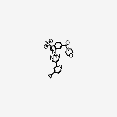 CS(=O)(=O)c1cn(-c2ncc(-c3cc(C4CC4)ccn3)cn2)c2cc(C(=O)N3CCOCC3)ccc12